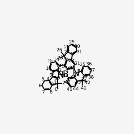 CC1(C)C2=C(CCC=C2)c2c1n1c3c(cccc23)-c2c3c(cc4c2C(C)(C)c2ccccc2-4)N2c4ccccc4C(C)(C)c4cccc(c42)B31